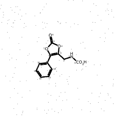 O=C(O)NCc1oc(=O)oc1-c1ccccc1